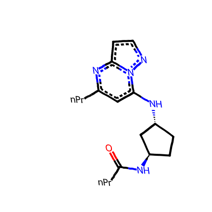 CCCC(=O)N[C@@H]1CC[C@@H](Nc2cc(CCC)nc3ccnn23)C1